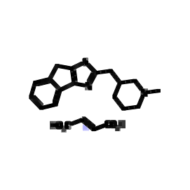 CN1CCCC(Cc2nc3c(s2)Cc2ccccc2-3)C1.O=C(O)/C=C/C(=O)O